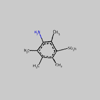 Cc1c(C)c(N)c(C)c(S(=O)(=O)O)c1C